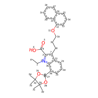 CCn1c(C(=O)O)c(CCCOc2cccc3ccccc23)c2cccc(B3OC(C)(C)C(C)(C)O3)c21